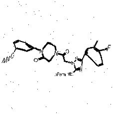 CCCCCc1nc(-c2ccc(F)c(C)c2)nn1CC(=O)N1CCN(c2cccc(OC)c2)C(=O)C1